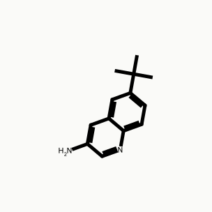 CC(C)(C)c1ccc2ncc(N)cc2c1